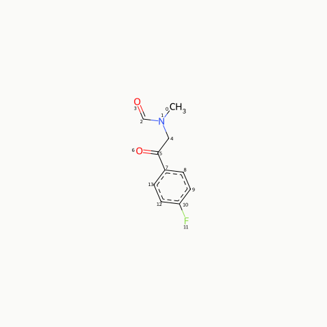 CN(C=O)CC(=O)c1ccc(F)cc1